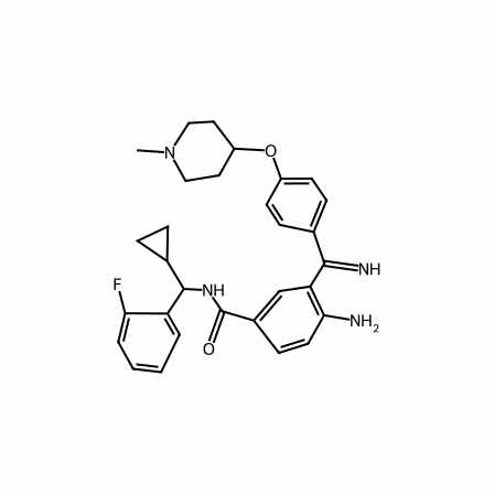 CN1CCC(Oc2ccc(C(=N)c3cc(C(=O)NC(c4ccccc4F)C4CC4)ccc3N)cc2)CC1